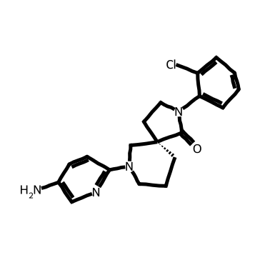 Nc1ccc(N2CCC[C@@]3(CCN(c4ccccc4Cl)C3=O)C2)nc1